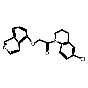 O=C(COc1cccc2cnccc12)N1CCCc2cc(Cl)ccc21